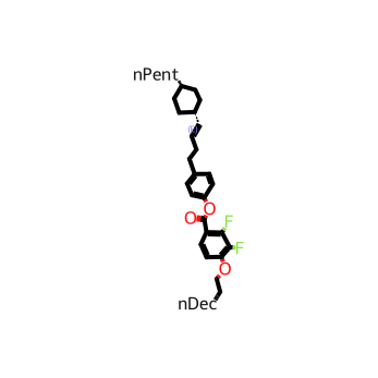 CCCCCCCCCCCCOc1ccc(C(=O)Oc2ccc(CC/C=C/[C@H]3CC[C@H](CCCCC)CC3)cc2)c(F)c1F